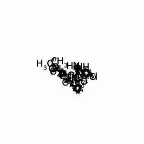 CC(C)(C)OC(=O)c1ccc(NC(=O)C(Cc2ccccc2)N2CC(=O)N(c3cc(Cl)ccc3N3C=CNN3)CC2=O)cc1